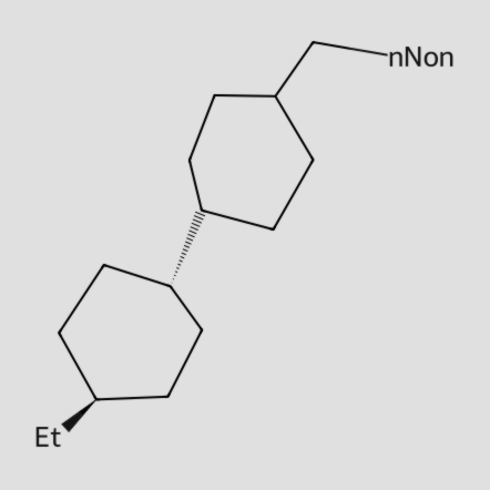 CCCCCCCCCCC1CCC([C@H]2CC[C@H](CC)CC2)CC1